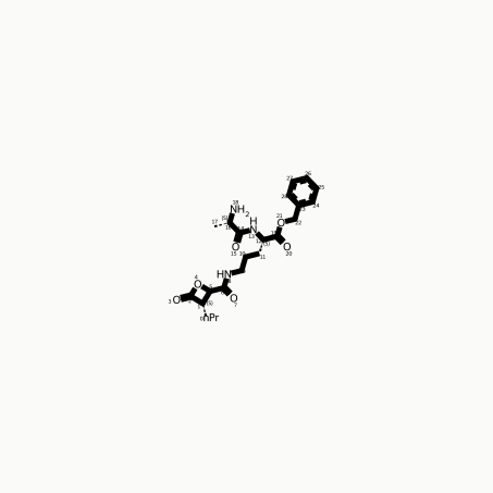 CCC[C@@H]1C(=O)OC1C(=O)NCCC[C@H](NC(=O)[C@H](C)N)C(=O)OCc1ccccc1